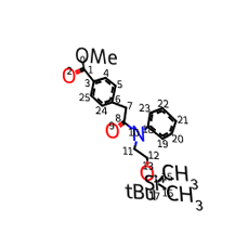 COC(=O)c1ccc(CC(=O)N(CCO[Si](C)(C)C(C)(C)C)c2ccccc2)cc1